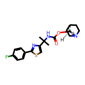 CC(C)(NC(=O)O[C@H]1CC2CCN(CC2)C1)c1csc(-c2ccc(F)cc2)n1